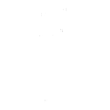 CC(C)NC(=O)C=CC#CCBr